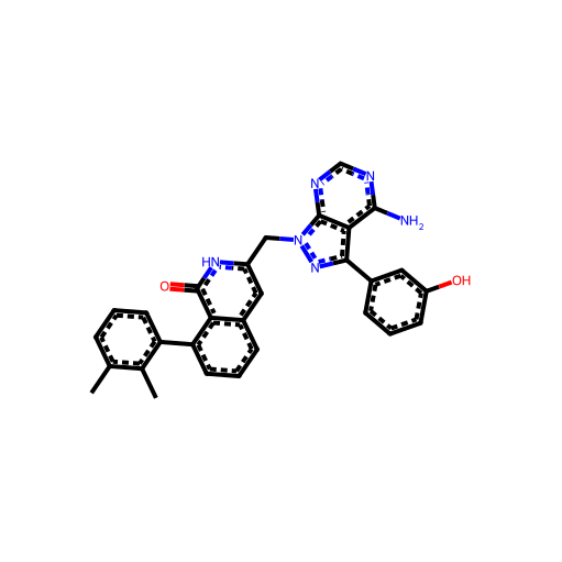 Cc1cccc(-c2cccc3cc(Cn4nc(-c5cccc(O)c5)c5c(N)ncnc54)[nH]c(=O)c23)c1C